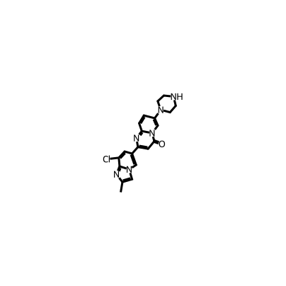 Cc1cn2cc(-c3cc(=O)n4cc(N5CCNCC5)ccc4n3)cc(Cl)c2n1